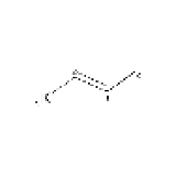 CC=[CH][K]